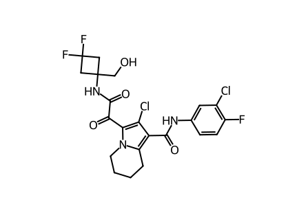 O=C(NC1(CO)CC(F)(F)C1)C(=O)c1c(Cl)c(C(=O)Nc2ccc(F)c(Cl)c2)c2n1CCCC2